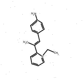 CC[n+]1ccccc1/C(C)=C/c1ccc(N)cc1